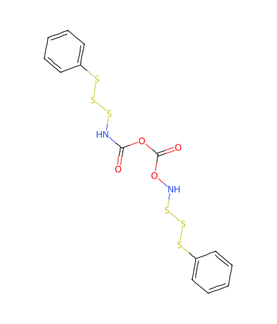 O=C(NSSSc1ccccc1)OC(=O)ONSSSc1ccccc1